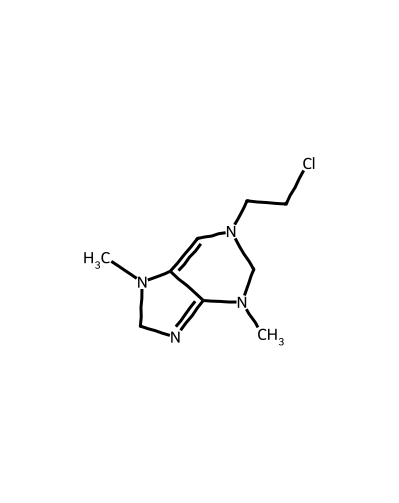 CN1CN=C2C1=CN(CCCl)CN2C